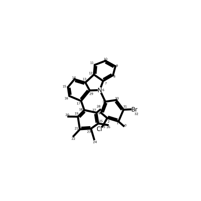 Cc1c(Cl)cc(-n2c3ccccc3c3cccc(-c4c(C)c(C)c(C)c(C)c4C)c32)cc1Br